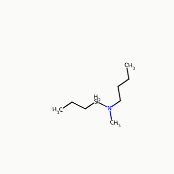 CCCCN(C)[SiH2]CCC